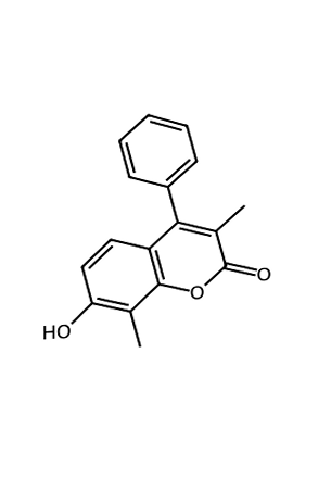 Cc1c(-c2ccccc2)c2ccc(O)c(C)c2oc1=O